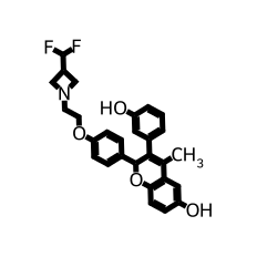 CC1=C(c2cccc(O)c2)C(c2ccc(OCCN3CC(C(F)F)C3)cc2)Oc2ccc(O)cc21